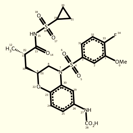 COc1cc(S(=O)(=O)N2C[C@H](C[C@H](C)C(=O)NS(=O)(=O)C3CC3)Oc3ccc(NC(=O)O)cc32)ccc1F